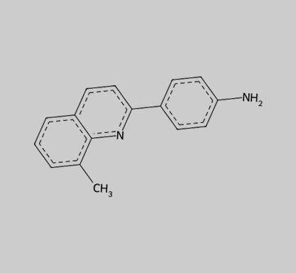 Cc1cccc2ccc(-c3ccc(N)cc3)nc12